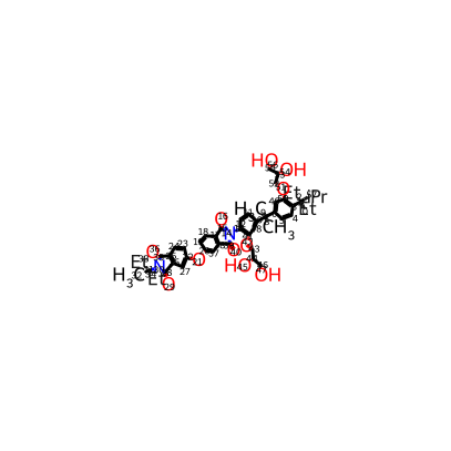 CCC(CC)(c1ccc(C(C)(C)c2ccc(N3C(=O)c4ccc(Oc5ccc6c(c5)C(=O)N(C(C)(CC)CC)C6=O)cc4C3=O)c(OCC(O)CO)c2)cc1OCC(O)CO)C(C)C